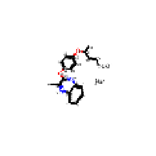 Cc1nc2ccccc2nc1Oc1ccc(OC(C)C=CC(=O)[O-])cc1.[Na+]